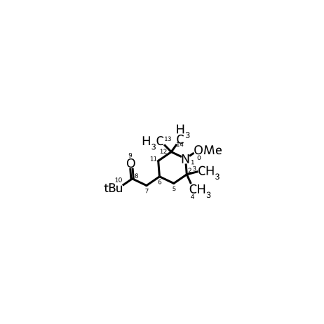 CON1C(C)(C)CC(CC(=O)C(C)(C)C)CC1(C)C